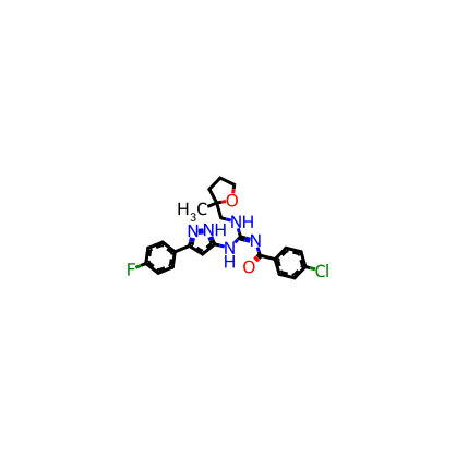 CC1(CN/C(=N/C(=O)c2ccc(Cl)cc2)Nc2cc(-c3ccc(F)cc3)n[nH]2)CCCO1